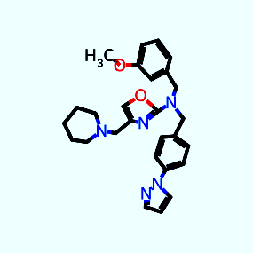 COc1cccc(CN(Cc2ccc(-n3cccn3)cc2)c2nc(CN3CCCCC3)co2)c1